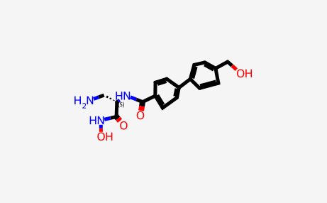 NC[C@H](NC(=O)c1ccc(-c2ccc(CO)cc2)cc1)C(=O)NO